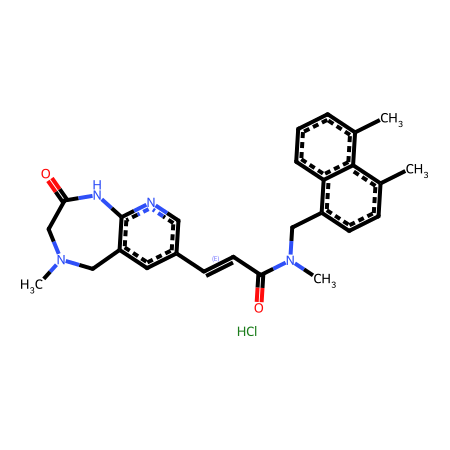 Cc1cccc2c(CN(C)C(=O)/C=C/c3cnc4c(c3)CN(C)CC(=O)N4)ccc(C)c12.Cl